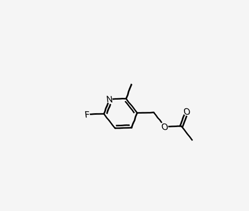 CC(=O)OCc1ccc(F)nc1C